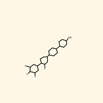 CCCC1CCC(C2CCC(C3CCC(C4CC(F)C(F)C(F)C4)C(F)C3)CC2)CC1